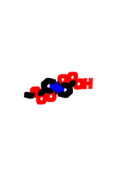 CCOC(=O)C1CCCN(N2CCCC(C(=O)O)C2=O)C1=O